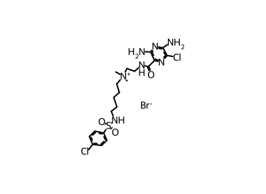 C[N+](C)(CCCCCNS(=O)(=O)c1ccc(Cl)cc1)CCNC(=O)c1nc(Cl)c(N)nc1N.[Br-]